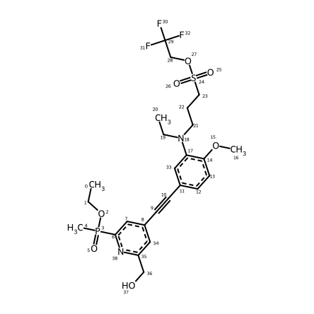 CCOP(C)(=O)c1cc(C#Cc2ccc(OC)c(N(CC)CCCS(=O)(=O)OCC(F)(F)F)c2)cc(CO)n1